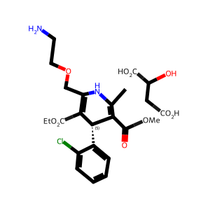 CCOC(=O)C1=C(COCCN)NC(C)=C(C(=O)OC)[C@@H]1c1ccccc1Cl.O=C(O)CC(O)C(=O)O